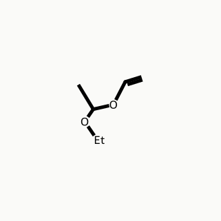 C=COC(C)OCC